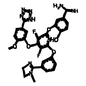 COc1ccc(-c2nnn[nH]2)cc1Oc1c(F)c(Oc2cccc(C3=NCCN3C)c2)nc(Oc2cc(C(=N)N)ccc2O)c1F